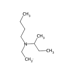 [CH2]CN(CCCC)C(C)CC